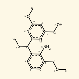 COCc1cccc(C(SC)c2nc(CO)cc(OC)n2)c1N